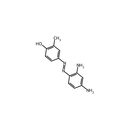 Cc1cc(/N=N/c2ccc(N)cc2N)ccc1O